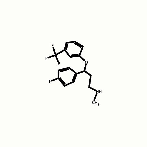 CNCCC(Oc1cccc(C(F)(F)F)c1)c1ccc(F)cc1